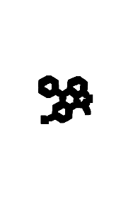 Cc1nc2cccc3c2n1-c1ccc(Br)cc1N3c1ccccc1